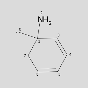 [CH2]C1(N)C=CC=CC1